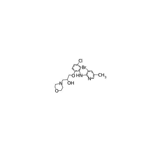 Cc1cnc(Nc2cc(Cl)ccc2OCC(O)CN2CCOCC2)c(Br)c1